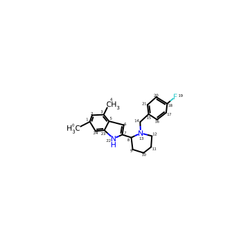 Cc1cc(C)c2cc(C3CCCCN3Cc3ccc(F)cc3)[nH]c2c1